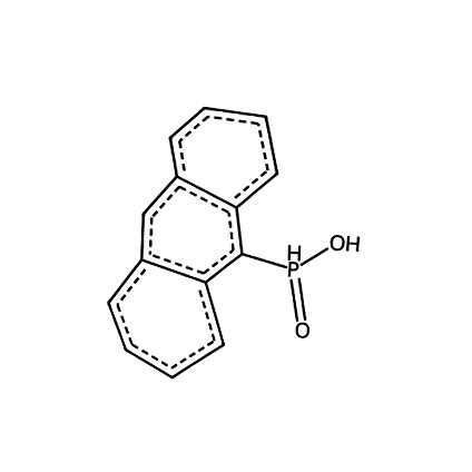 O=[PH](O)c1c2ccccc2cc2ccccc12